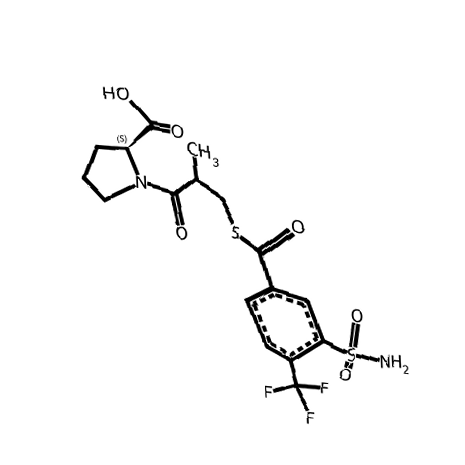 CC(CSC(=O)c1ccc(C(F)(F)F)c(S(N)(=O)=O)c1)C(=O)N1CCC[C@H]1C(=O)O